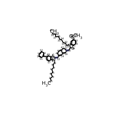 CCCCCCCCCCN1/C(=C/C2=CC3=C/C(=C/c4sc5ccc([S+](C)[O-])cc5[n+]4CCCCCCCCCC)CCC3CC2)Sc2cc(-c3ccccc3)ccc21